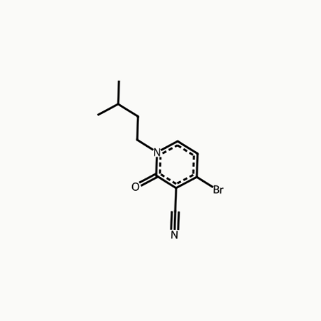 CC(C)CCn1ccc(Br)c(C#N)c1=O